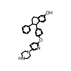 Oc1ccc2c(c1)CCC(c1ccccc1)C2c1ccc(Oc2ccc(N3CCNCC3)cn2)cc1